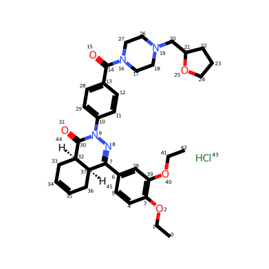 CCOc1ccc(C2=NN(c3ccc(C(=O)N4CCN(CC5CCCO5)CC4)cc3)C(=O)[C@@H]3CC=CC[C@H]23)cc1OCC.Cl